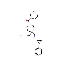 COCC1(CN[C@@H]2CC2c2ccccc2)CCN(C(=O)C2CCN(C)CC2)CC1